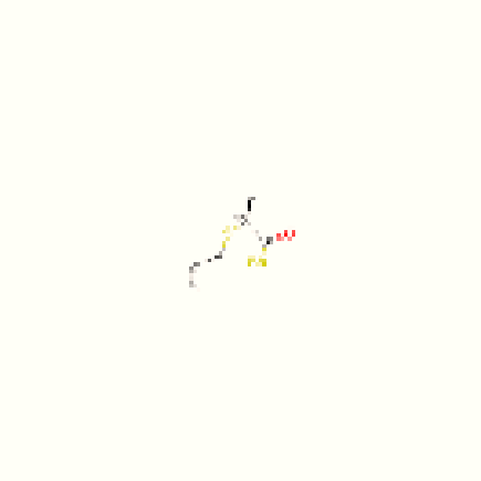 C=CCS[C@@H](C)C(=O)S